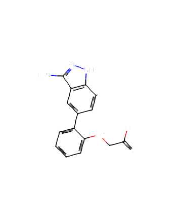 C=C(O)COc1ccccc1-c1ccc2[nH]nc(N)c2c1